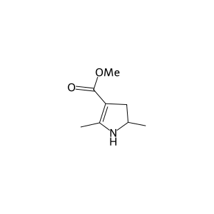 COC(=O)C1=C(C)NC(C)C1